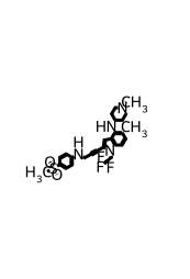 Cc1ccc2c(cc(C#CCNc3ccc(S(C)(=O)=O)cc3)n2CC(F)(F)F)c1NC1CCN(C)CC1